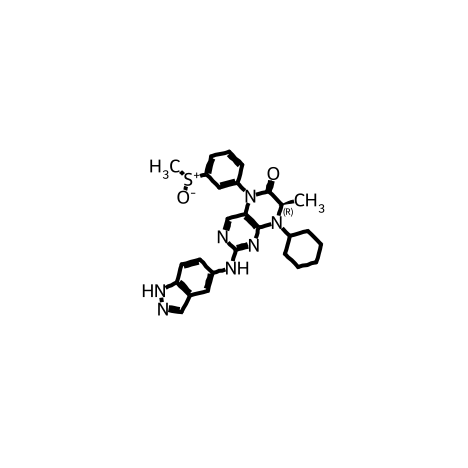 C[C@@H]1C(=O)N(c2cccc([S+](C)[O-])c2)c2cnc(Nc3ccc4[nH]ncc4c3)nc2N1C1CCCCC1